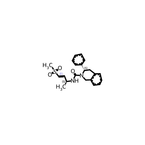 C[C@@H](/C=C/S(C)(=O)=O)NC(=O)N1Cc2ccccc2C[C@H]1c1ccccc1